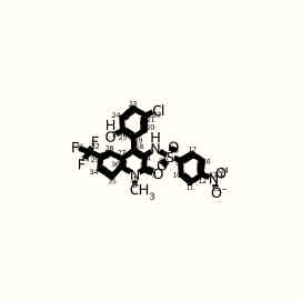 Cn1c(=O)c(NS(=O)(=O)c2ccc([N+](=O)[O-])cc2)c(-c2cc(Cl)ccc2O)c2cc(C(F)(F)F)ccc21